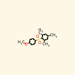 COc1ccc(S(=O)(=O)c2c(C)cc(C)cc2C)cc1